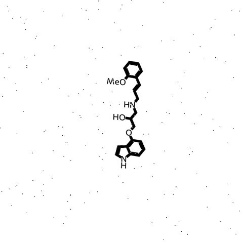 COc1ccccc1C=CCNCC(O)COc1cccc2[nH]ccc12